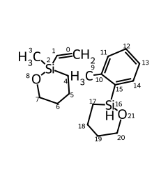 C=C[Si]1(C)CCCCO1.Cc1ccccc1[SiH]1CCCCO1